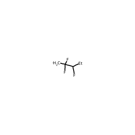 [CH2]C(F)(F)C(F)CC